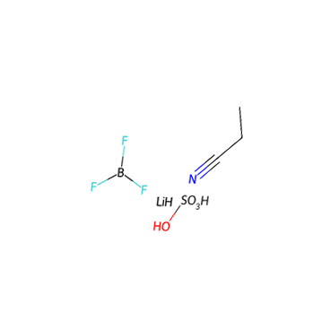 CCC#N.FB(F)F.O=S(=O)(O)O.[LiH]